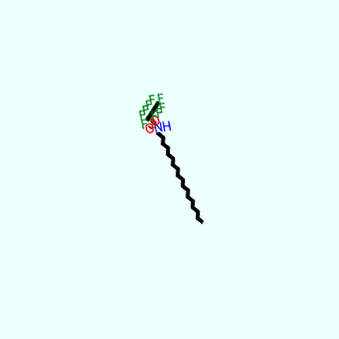 CCCCCCCCCCCCCCCCCCNS(=O)(=O)C(F)(F)C(F)(F)C(F)(F)C(F)(F)F